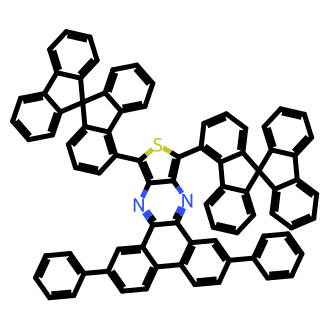 c1ccc(-c2ccc3c4ccc(-c5ccccc5)cc4c4nc5c(-c6cccc7c6-c6ccccc6C76c7ccccc7-c7ccccc76)sc(-c6cccc7c6-c6ccccc6C76c7ccccc7-c7ccccc76)c5nc4c3c2)cc1